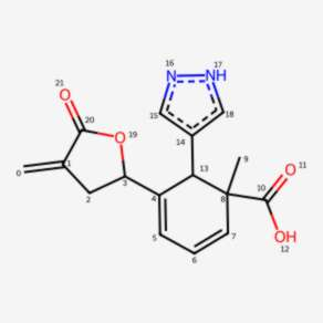 C=C1CC(C2=CC=CC(C)(C(=O)O)C2c2cn[nH]c2)OC1=O